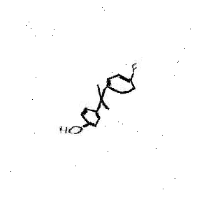 CC(C)(c1ccc(O)cc1)c1ccc(F)cc1